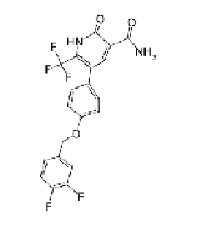 NC(=O)c1cc(-c2ccc(OCc3ccc(F)c(F)c3)cc2)c(C(F)(F)F)[nH]c1=O